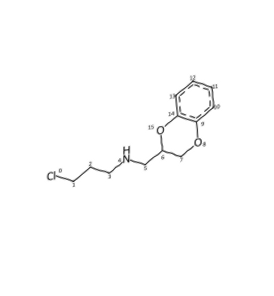 ClCCCNCC1COc2ccccc2O1